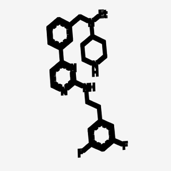 CCN(Cc1cccc(-c2ccnc(NCCc3cc(F)cc(F)c3)n2)c1)C1CCNCC1